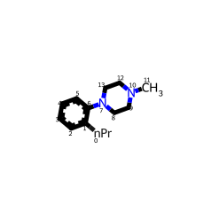 CCCc1cc[c]cc1N1CCN(C)CC1